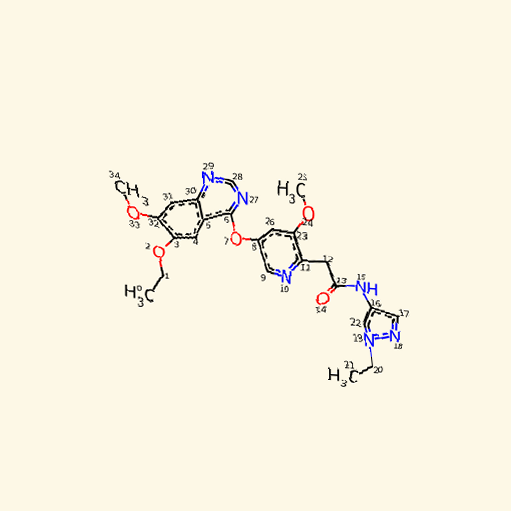 CCOc1cc2c(Oc3cnc(CC(=O)Nc4cnn(CC)c4)c(OC)c3)ncnc2cc1OC